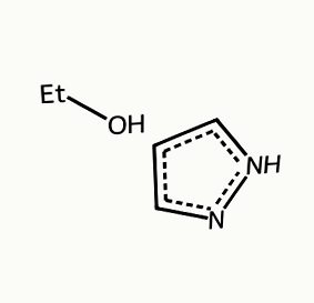 CCO.c1cn[nH]c1